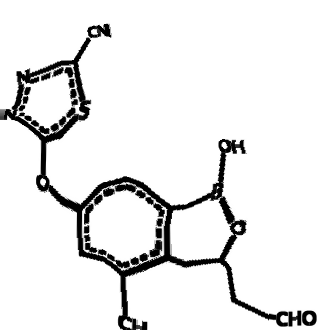 Cc1cc(Oc2nnc(C#N)s2)cc2c1C(CC=O)OB2O